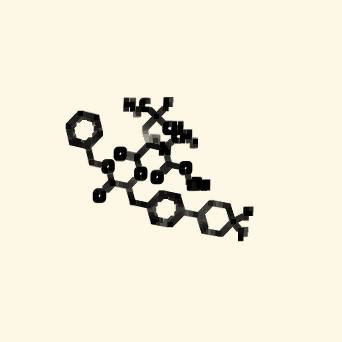 CN(C(=O)OC(C)(C)C)[C@@H](CC(C)(C)F)C(=O)OC(Cc1ccc(C2=CCC(F)(F)CC2)cc1)C(=O)OCc1ccccc1